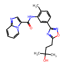 Cc1ccc(-c2noc(CCC(C)(C)O)n2)cc1NC(=O)c1cnc2ccccn12